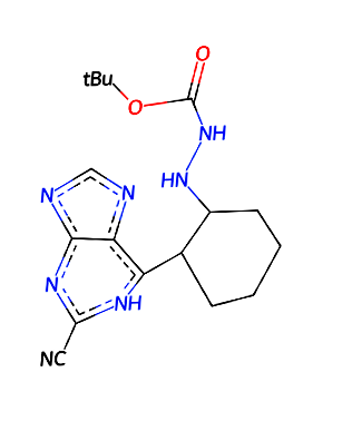 CC(C)(C)OC(=O)NNC1CCCCC1c1[nH]c(C#N)nc2ncnc1-2